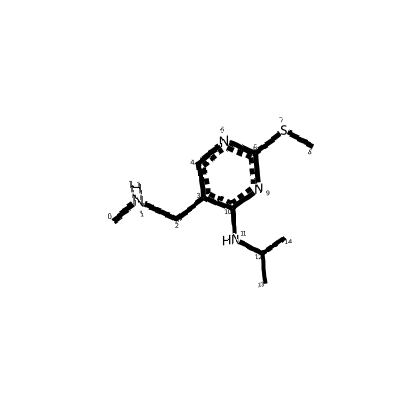 CNCc1cnc(SC)nc1NC(C)C